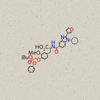 CCC(C)OP(=O)(COc1ccc(CC(NC(=O)c2ccc3c(c2)nc(-c2ccoc2)n3C2CCCCC2)C(=O)O)cc1OC)Oc1ccccc1